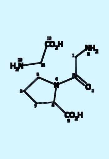 NCC(=O)N1CCCC1C(=O)O.NCC(=O)O